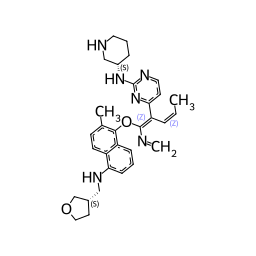 C=N/C(Oc1c(C)ccc2c(NC[C@@H]3CCOC3)cccc12)=C(\C=C/C)c1ccnc(N[C@H]2CCCNC2)n1